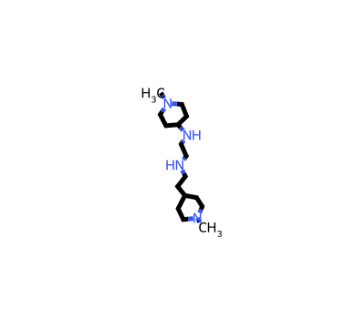 CN1CCC(CCNCCNC2CCN(C)CC2)CC1